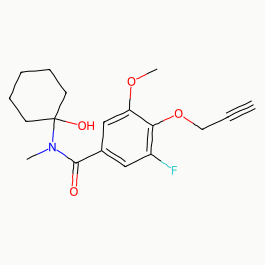 C#CCOc1c(F)cc(C(=O)N(C)C2(O)CCCCC2)cc1OC